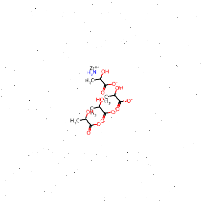 CC(O)C(=O)[O-].CC(O)C(=O)[O-].CC(O)C(=O)[O-].CC(O)C(=O)[O-].N.[Zr+4]